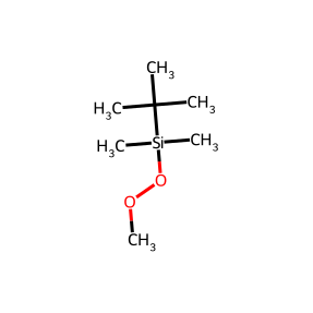 COO[Si](C)(C)C(C)(C)C